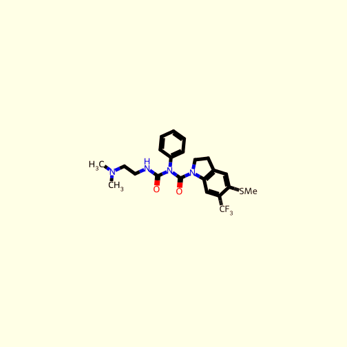 CSc1cc2c(cc1C(F)(F)F)N(C(=O)N(C(=O)NCCN(C)C)c1ccccc1)CC2